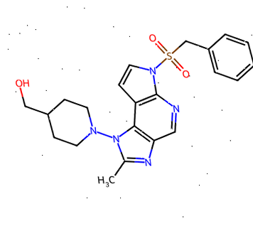 Cc1nc2cnc3c(ccn3S(=O)(=O)Cc3ccccc3)c2n1N1CCC(CO)CC1